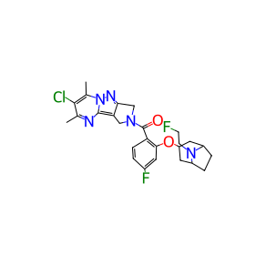 Cc1nc2c3c(nn2c(C)c1Cl)CN(C(=O)c1ccc(F)cc1OC1CC2CCC(C1)N2CCF)C3